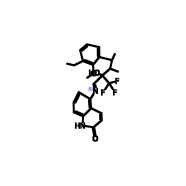 CCc1cccc(C(C)C(C)C(O)(/C=N/c2cccc3[nH]c(=O)ccc23)C(F)(F)F)c1OC